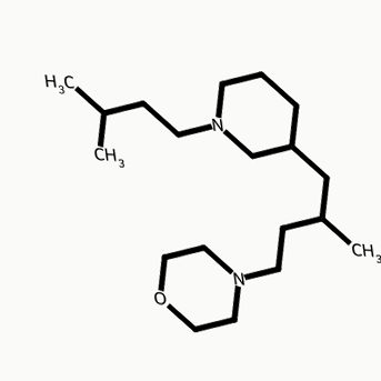 CC(C)CCN1CCCC(CC(C)CCN2CCOCC2)C1